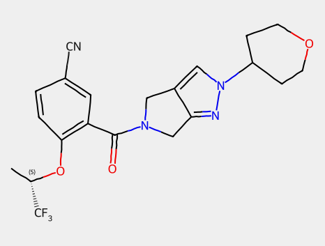 C[C@H](Oc1ccc(C#N)cc1C(=O)N1Cc2cn(C3CCOCC3)nc2C1)C(F)(F)F